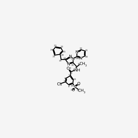 CC(NC(=O)c1cc(Cl)cc(S(C)(=O)=O)c1)c1nc(Cc2ccccc2)nn1-c1ncccn1